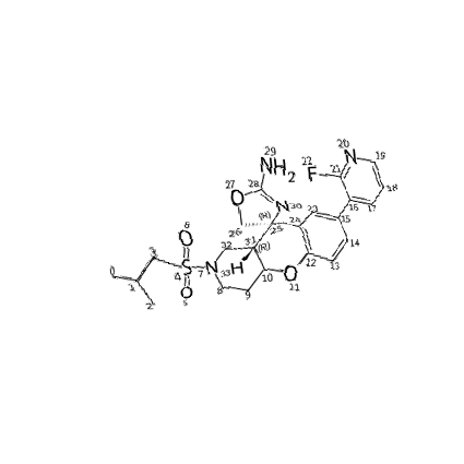 CC(C)CS(=O)(=O)N1CCC2Oc3ccc(-c4cccnc4F)cc3[C@@]3(COC(N)=N3)[C@H]2C1